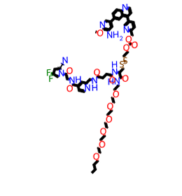 CCCCOCCOCCOCCOCCOCCOCCNC(=O)C(CSSCCOC(=O)OCc1ccc(-c2ccnc3ccc(-c4cnc(OC)c(N)c4)cc23)cn1)NC(=O)CCC(=O)NCc1cc(C(=O)NCC(=O)N2CC(F)(F)C[C@H]2C#N)ccn1